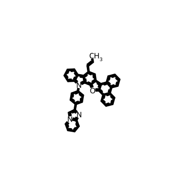 C/C=C/c1cc2c(oc3c4ccccc4c4ccccc4c23)c2c1c1ccccc1n2-c1ccc(-c2cn3ccccc3n2)cc1